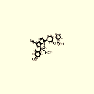 C[C@@H]1CN(c2cnc3c(C#N)nn([C@H](C)c4ccc(Cl)cc4Cl)c3n2)CC[C@@H]1N1CCC[C@H]1CO.Cl